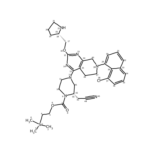 C[Si](C)(C)CCOC(=O)N1CCN(c2nc(OC[C@@H]3CCCN3)nc3c2CCN(c2cccc4cccc(Cl)c24)C3)C[C@@H]1CC#N